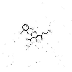 CCOC(=O)C=C(C)N(C(=O)OC)C(C)Cc1c(Cl)cccc1Cl